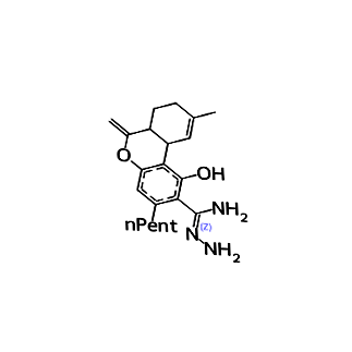 C=C1Oc2cc(CCCCC)c(/C(N)=N/N)c(O)c2C2C=C(C)CCC12